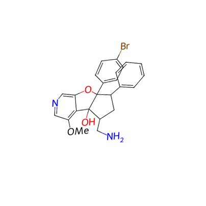 COc1cncc2c1C1(O)C(CN)CC(c3ccccc3)C1(c1ccc(Br)cc1)O2